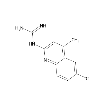 Cc1cc(NC(=N)N)nc2ccc(Cl)cc12